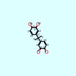 CC(C)(C1=CC(=O)C(=O)C=C1)C1=CC(=O)C(=O)C=C1